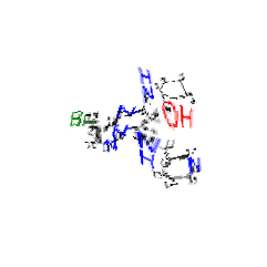 O[C@H]1CCCC1Nc1cc(NCc2cccnc2)n2ncc(Br)c2n1